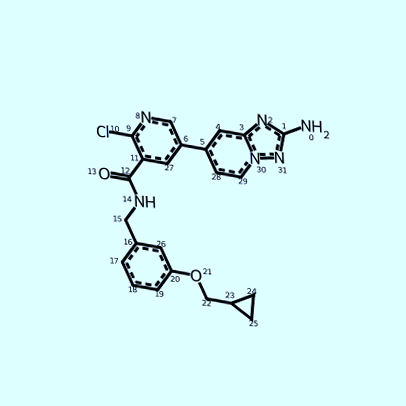 Nc1nc2cc(-c3cnc(Cl)c(C(=O)NCc4cccc(OCC5CC5)c4)c3)ccn2n1